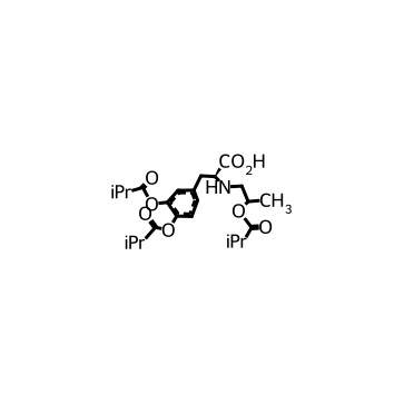 CC(CN[C@@H](Cc1ccc(OC(=O)C(C)C)c(OC(=O)C(C)C)c1)C(=O)O)OC(=O)C(C)C